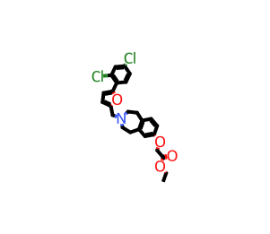 CCOC(=O)COc1ccc2c(c1)CCN(Cc1ccc(-c3ccc(Cl)cc3Cl)o1)CC2